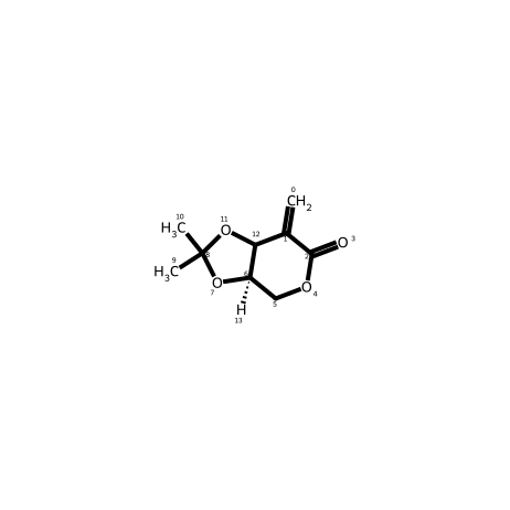 C=C1C(=O)OC[C@H]2OC(C)(C)OC12